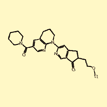 CCOCCC1Cc2cc(N3CCCc4cc(C(=O)N5CCCCC5)cnc43)ncc2C1=O